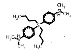 CCCC[Si](CCCC)(c1ccc([SiH](C)C)cc1)c1ccc([SiH](C)C)cc1